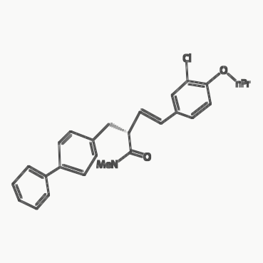 CCCOc1ccc(/C=C/[C@@H](Cc2ccc(-c3ccccc3)cc2)C(=O)NC)cc1Cl